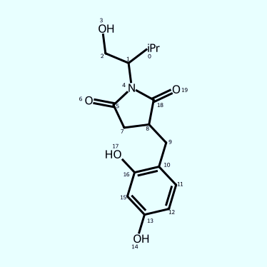 CC(C)C(CO)N1C(=O)CC(Cc2ccc(O)cc2O)C1=O